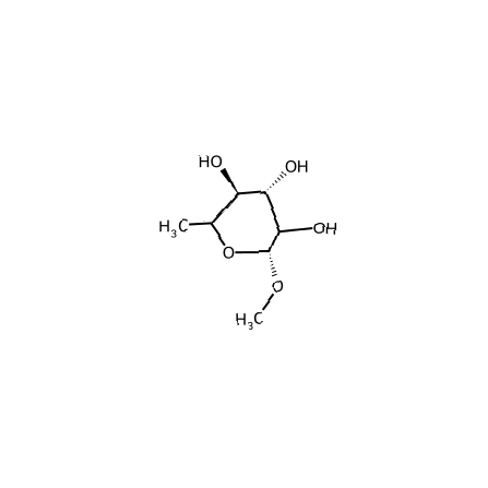 CO[C@@H]1OC(C)[C@@H](O)[C@H](O)C1O